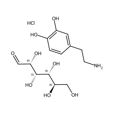 Cl.NCCc1ccc(O)c(O)c1.O=C[C@H](O)[C@@H](O)[C@H](O)[C@H](O)CO